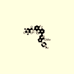 COc1nc(-c2ccc(F)c(-c3c(F)ccc(NC(=O)c4cn(C)c(=O)n(C)c4=O)c3Cl)c2Cl)cc2c1C(N1CCN(C(C)=O)CC1)CC2